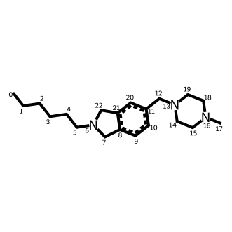 CCCCCCN1Cc2ccc(CN3CCN(C)CC3)cc2C1